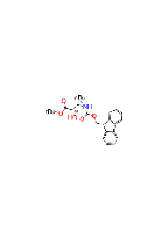 CCCC[C@H](NC(=O)OCC1c2ccccc2-c2ccccc21)[C@H](O)C(=O)OC(C)(C)C